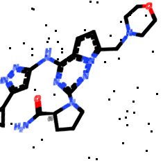 NC(=O)[C@@H]1CCCN1c1nc(Nc2cc(C3CC3)[nH]n2)c2ccc(CN3CCOCC3)n2n1